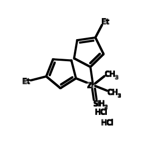 CCC1=CC[C]([Zr]([CH3])([CH3])(=[SiH2])[C]2=CC(CC)=CC2)=C1.Cl.Cl